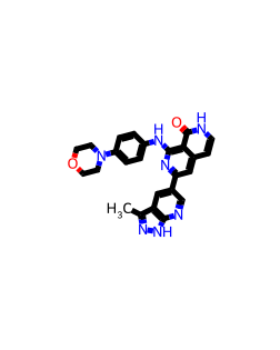 Cc1n[nH]c2ncc(-c3cc4cc[nH]c(=O)c4c(Nc4ccc(N5CCOCC5)cc4)n3)cc12